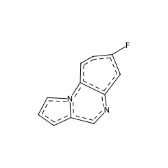 Fc1ccc2c(c1)ncc1cccn12